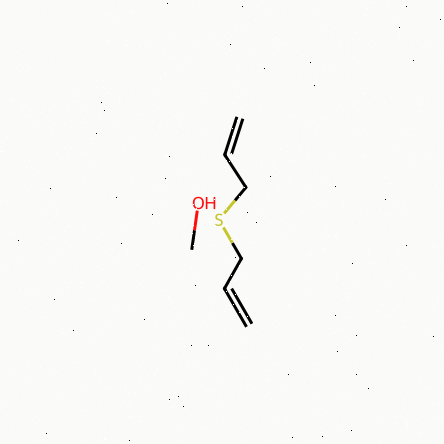 C=CCSCC=C.CO